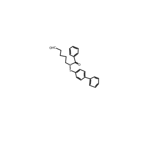 O=CCCCCN(Sc1ccc(-c2ccccc2)cc1)C(=O)c1ccccc1